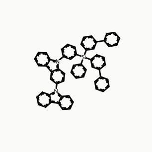 c1ccc(-c2cccc([Si](c3ccccc3)(c3cccc(-c4ccccc4)c3)c3cccc(-n4c5ccccc5c5cc(-n6c7ccccc7c7ccccc76)ccc54)c3)c2)cc1